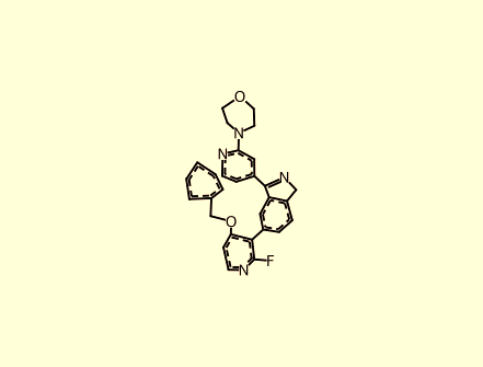 Fc1nccc(OCc2ccccc2)c1-c1ccc2c(c1)C(c1ccnc(N3CCOCC3)c1)=NC2